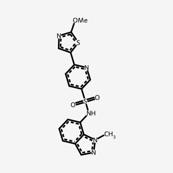 COc1ncc(-c2ccc(S(=O)(=O)Nc3cccc4cnn(C)c34)cn2)s1